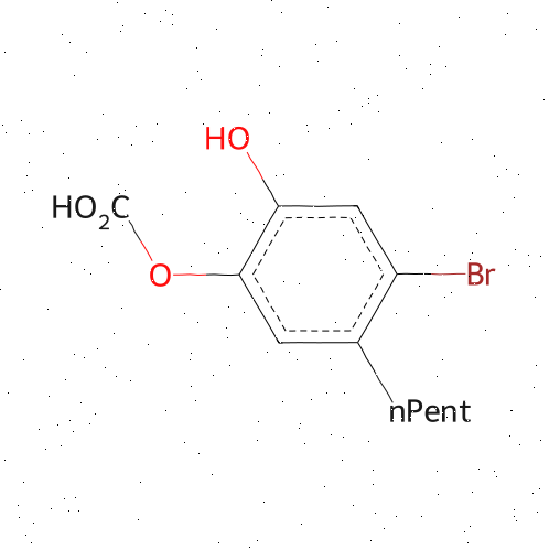 CCCCCc1cc(OC(=O)O)c(O)cc1Br